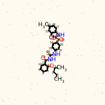 CCCC(C)Oc1ccccc1C(=O)NC(=S)Nc1ccc(S(=O)(=O)Nc2ccc(C)cc2C)cc1